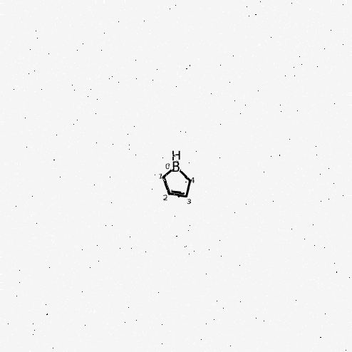 B1CC=CC1